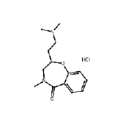 CN(C)CCC1CN(C)C(=O)c2ccccc2O1.Cl